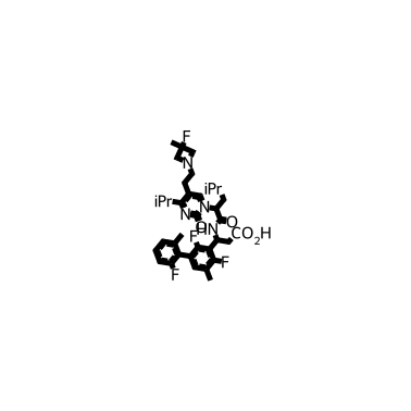 Cc1cc(-c2c(C)cccc2F)c(F)c(C(CC(=O)O)NC(=O)C(CC(C)C)n2cc(CCN3CC(C)(F)C3)c(C(C)C)nc2=O)c1F